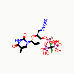 C=C[C@@H](O[C@@H](CN=[N+]=[N-])COP(O)(=S)OP(=O)(O)C(F)(F)P(=O)(O)O)n1cc(C)c(=O)[nH]c1=O